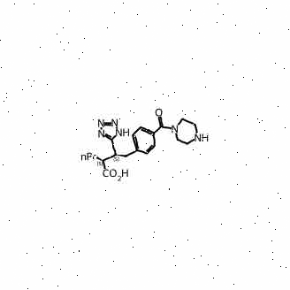 CCC[C@H](C(=O)O)[C@H](Cc1ccc(C(=O)N2CCNCC2)cc1)c1nnn[nH]1